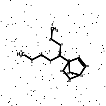 CCCCC(CCC)C12C=CC(CC1)C2